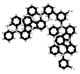 Fc1cccc(N(c2ccccc2)c2cccc3c2c2cccc4c5c(N(c6ccccc6)c6cc(F)cc(-c7cccc(N(c8ccccc8)c8cccc9c8c8cccc%10c%11c(N(c%12ccccc%12)c%12ccccc%12F)cccc%11n9c%108)c7F)c6)cccc5n3c24)c1